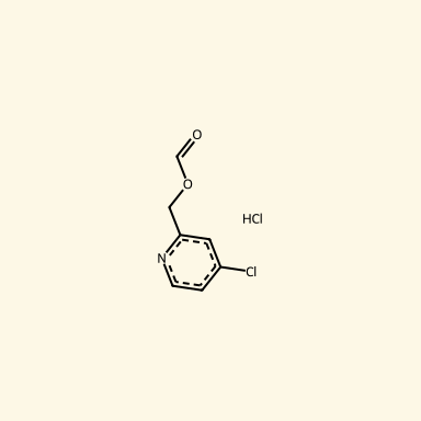 Cl.O=COCc1cc(Cl)ccn1